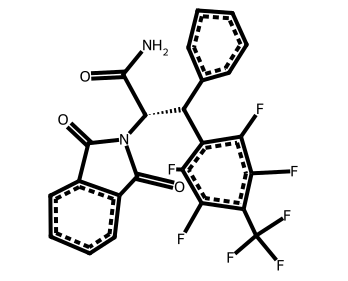 NC(=O)[C@H](C(c1ccccc1)c1c(F)c(F)c(C(F)(F)F)c(F)c1F)N1C(=O)c2ccccc2C1=O